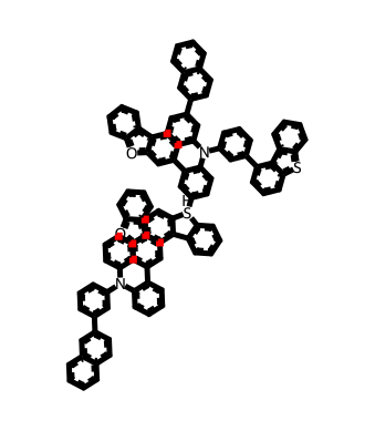 c1cc(-c2ccc3c(c2)-c2ccccc2[SH]3c2ccc(N(c3cccc(-c4ccc5ccccc5c4)c3)c3cccc(-c4cccc5sc6ccccc6c45)c3)c(-c3ccc4c(c3)oc3ccccc34)c2)cc(N(c2cccc(-c3ccc4ccccc4c3)c2)c2ccccc2-c2ccc3c(c2)oc2ccccc23)c1